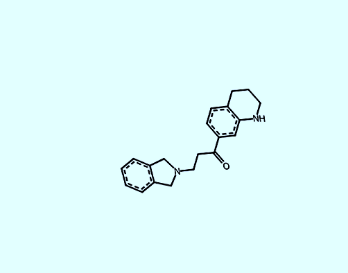 O=C(CCN1Cc2ccccc2C1)c1ccc2c(c1)NCCC2